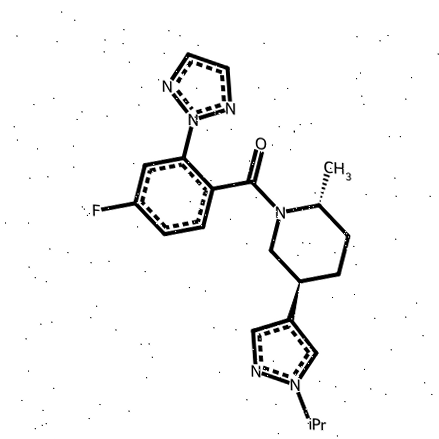 CC(C)n1cc([C@@H]2CC[C@@H](C)N(C(=O)c3ccc(F)cc3-n3nccn3)C2)cn1